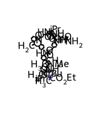 C=C1Cc2ccccc2CN(C(=O)CCC(=O)N[C@H](C(=O)N[C@@H](CCCNC(N)=O)C(=O)Nc2ccc(COC(=O)Nc3cccc(C(C)(C)C(NC)C(=O)N[C@H](C(=O)N(C)[C@H](/C=C(\C)C(=O)OCC)C(C)C)C(C)(C)C)c3)cc2)C(C)C)c2ccccc21